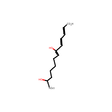 CCCCCCCCC(O)CCCCC=C(O)C=CC=CC(=O)O